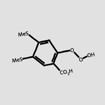 CSc1cc(OOO)c(C(=O)O)cc1SC